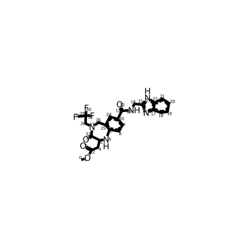 COC(=O)CC1Nc2ccc(C(=O)NCc3nc4ccccc4[nH]3)cc2CN(CC(F)(F)F)C1=O